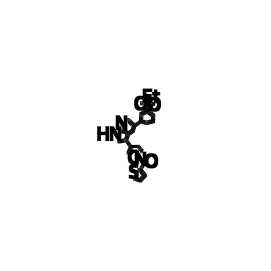 CCS(=O)(=O)c1cccc(-c2cnc3[nH]cc(C4=CCN(C(=O)c5cccs5)CC4)c3c2)c1